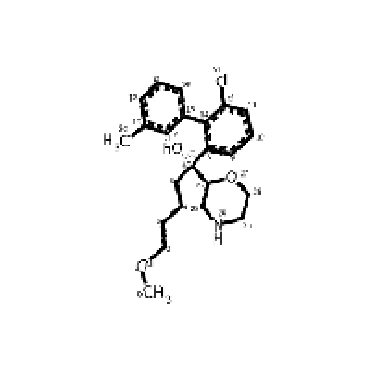 COCCCC[C@@](O)(c1cccc(Cl)c1-c1cccc(C)c1)C1CNCCO1